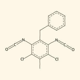 Cc1c(Cl)c(N=C=O)c(Cc2ccccc2)c(N=C=O)c1Cl